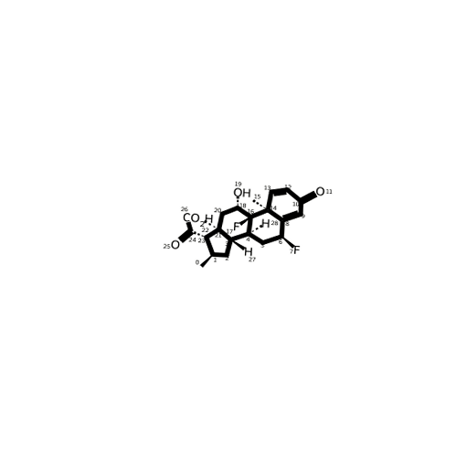 C[C@@H]1C[C@H]2[C@@H]3C[C@H](F)C4=CC(=O)C=C[C@]4(C)[C@@]3(F)[C@@H](O)C[C@]2(C)[C@H]1C(=O)C(=O)O